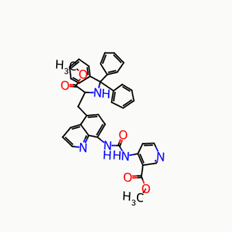 COC(=O)c1cnccc1NC(=O)Nc1ccc(CC(NC(c2ccccc2)(c2ccccc2)c2ccccc2)C(=O)OC)c2cccnc12